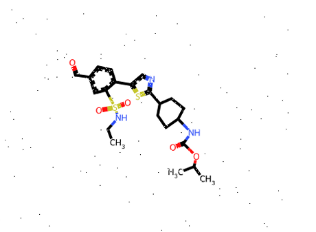 CCNS(=O)(=O)c1cc(C=O)ccc1-c1cnc(C2CCC(NC(=O)OC(C)C)CC2)s1